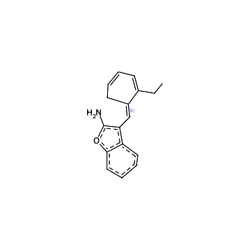 CCC1=CC=CC/C1=C\c1c(N)oc2ccccc12